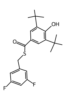 CC(C)(C)c1cc(C(=O)SCc2cc(F)cc(F)c2)cc(C(C)(C)C)c1O